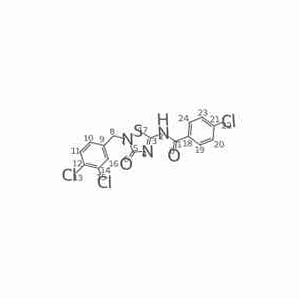 O=C(Nc1nc(=O)n(Cc2ccc(Cl)c(Cl)c2)s1)c1ccc(Cl)cc1